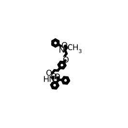 Cc1oc(-c2ccccc2)nc1CCOc1ccc(CCC(=O)ONc2ccccc2C(=O)c2ccccc2)cc1